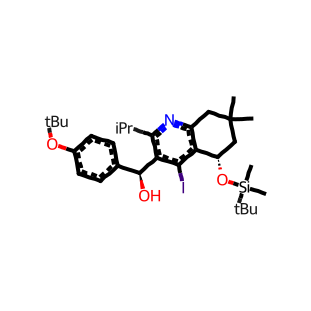 CC(C)c1nc2c(c(I)c1[C@@H](O)c1ccc(OC(C)(C)C)cc1)[C@@H](O[Si](C)(C)C(C)(C)C)CC(C)(C)C2